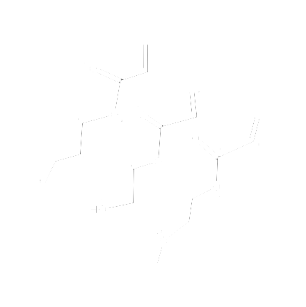 C=CC(=O)OCCCC.C=CC(=O)OCCO.C=CC(=O)OCCOC